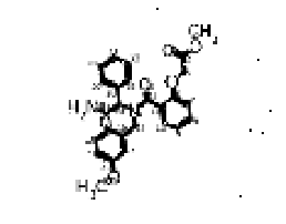 COC(=O)COc1ccccc1C(=O)N(Cc1cccc(OC)c1)[C@@H](C(N)=O)c1ccccc1